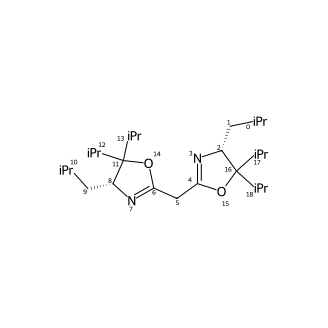 CC(C)C[C@H]1N=C(CC2=N[C@H](CC(C)C)C(C(C)C)(C(C)C)O2)OC1(C(C)C)C(C)C